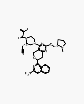 C=C(F)C(=O)N1CCN(c2nc(OC[C@@H]3CCCN3C)nc3c2COC(c2nc(N)cc4ccccc24)C3)C[C@@H]1CC#N